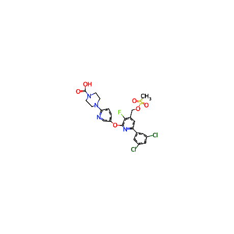 CS(=O)(=O)OCc1cc(-c2cc(Cl)cc(Cl)c2)nc(Oc2ccc(N3CCN(C(=O)O)CC3)nc2)c1F